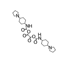 O=C(NC1CCC(N2CCCC2)CC1)OC(=O)C(=O)OC(=O)NC1CCC(N2CCCC2)CC1